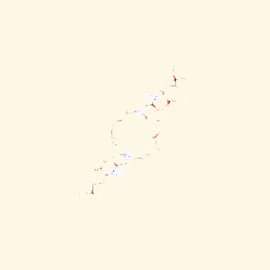 Cl.Cl.O=C(O)CCC(NC(=O)CN1CCOCCOCCN(CC(=O)NC(CCC(=O)O)C(=O)O)CCOCCOCC1)C(=O)O